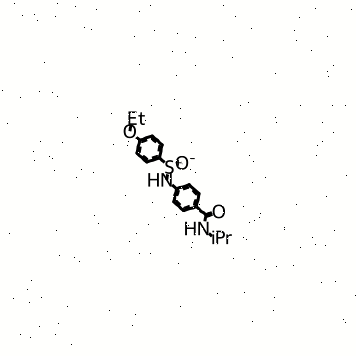 CCOc1ccc([S+]([O-])Nc2ccc(C(=O)NC(C)C)cc2)cc1